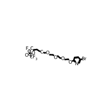 O=S(=O)(OC(CCCCOCCOCCOCCOc1ccc(Br)cn1)C(F)(F)F)C(F)(F)F